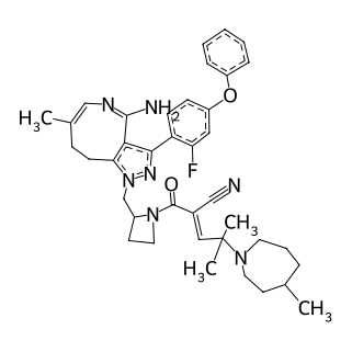 C/C1=C/N=C(/N)c2c(-c3ccc(Oc4ccccc4)cc3F)nn(CC3CCN3C(=O)/C(C#N)=C/C(C)(C)N3CCCC(C)CC3)c2CC1